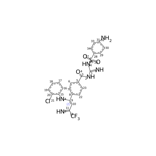 N=C(NC(=O)c1ccc(/C(=C/C(=N)C(F)(F)F)Nc2ccccc2Cl)cc1)NS(=O)(=O)c1ccc(N)cc1